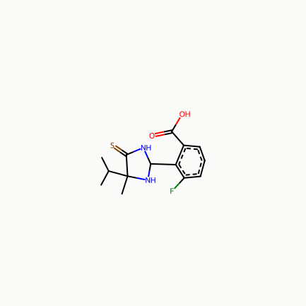 CC(C)C1(C)NC(c2c(F)cccc2C(=O)O)NC1=S